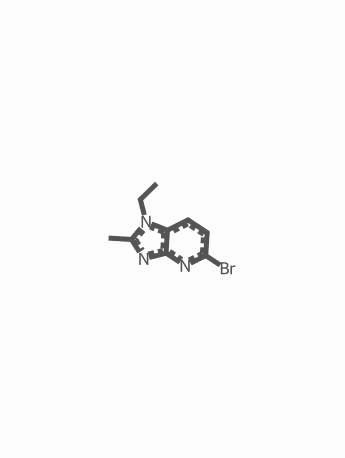 CCn1c(C)nc2nc(Br)ccc21